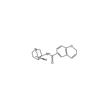 O=C(N[C@H]1CN2CCC1CC2)c1ccc2c(c1)C=CCO2